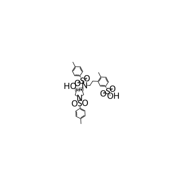 Cc1ccc(S(=O)(=O)N2C[C@H](O)[C@@H](N(CCc3cc(S(=O)(=O)O)ccc3C)S(=O)(=O)c3ccc(C)cc3)C2)cc1